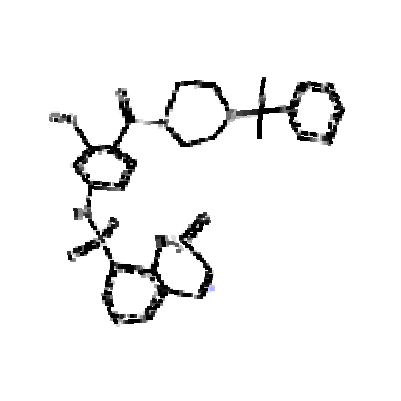 C=C/C=C\c1cccc(S(=O)(=O)Nc2ccc(C(=O)N3CCN(C(C)(C)c4ccccc4)CC3)c(OC)c2)c1N